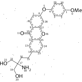 COc1ccc(Oc2ccc3c(=O)c4cc(CCC(N)(CO)CO)ccc4oc3c2)cc1